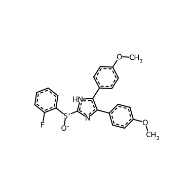 COc1ccc(-c2nc([S+]([O-])c3ccccc3F)[nH]c2-c2ccc(OC)cc2)cc1